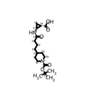 CC(C)(C)OC(=O)N1CCC(CCCC(=O)N[C@H]2C[C@@H]2C(=O)O)CC1